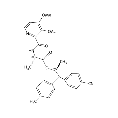 COc1ccnc(C(=O)N[C@@H](C)C(=O)O[C@@H](C)C(c2ccc(C)cc2)c2ccc(C#N)cc2)c1OC(C)=O